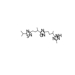 Cc1n[nH]c(C(C)CCc2noc(C(C)CCc3nsc(C(C)C)n3)n2)n1